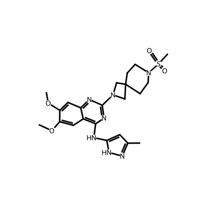 COc1cc2nc(N3CC4(CCN(S(C)(=O)=O)CC4)C3)nc(Nc3cc(C)n[nH]3)c2cc1OC